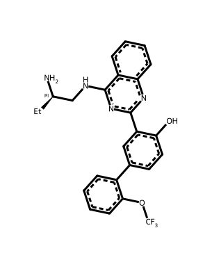 CC[C@@H](N)CNc1nc(-c2cc(-c3ccccc3OC(F)(F)F)ccc2O)nc2ccccc12